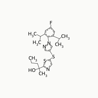 CCCC(C)(O)c1ncc(Sc2cnn(-c3c(C(C)C)cc(F)cc3C(C)C)c2)s1